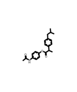 CC(=O)Nc1ccc(OC(=O)C(C)c2ccc(CC(C)C)cc2)cc1